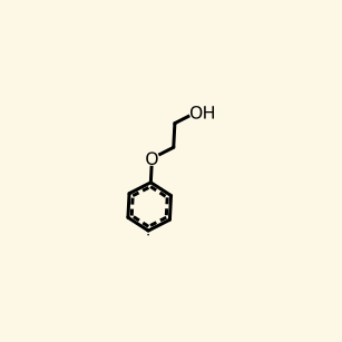 OCCOc1cc[c]cc1